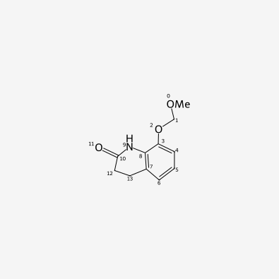 COCOc1cccc2c1NC(=O)CC2